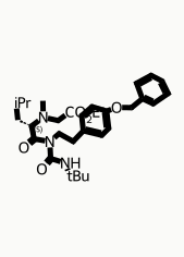 CCOC(=O)CN(C)[C@@H](CC(C)C)C(=O)N(CCc1ccc(OCc2ccccc2)cc1)C(=O)NC(C)(C)C